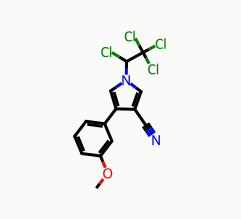 COc1cccc(-c2cn(C(Cl)C(Cl)(Cl)Cl)cc2C#N)c1